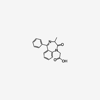 CC1N=C(c2ccccc2)c2ccccc2N(CC(=O)O)C1=O